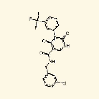 O=C(NCc1cccc(Cl)c1)c1c[nH]c(=O)n(-c2cccc(C(F)(F)F)c2)c1=O